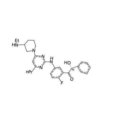 CCCc1cc(N2CCCC(NCC)C2)nc(Nc2ccc(F)c(C(=O)[C@H](O)c3ccccc3)c2)n1